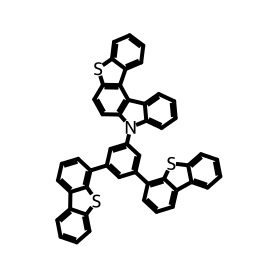 c1ccc2c(c1)sc1c(-c3cc(-c4cccc5c4sc4ccccc45)cc(-n4c5ccccc5c5c6c(ccc54)sc4ccccc46)c3)cccc12